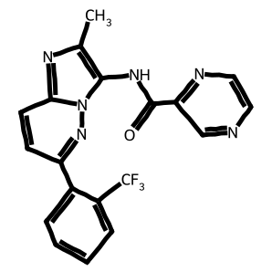 Cc1nc2ccc(-c3ccccc3C(F)(F)F)nn2c1NC(=O)c1cnccn1